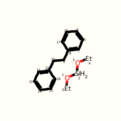 CCO[SiH2]OCC.c1ccc(CCc2ccccc2)cc1